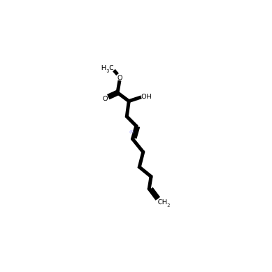 C=CCCC/C=C/CC(O)C(=O)OC